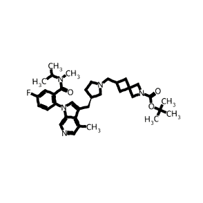 Cc1cncc2c1c(C[C@H]1CCN(CC3CC4(C3)CN(C(=O)OC(C)(C)C)C4)C1)cn2-c1ccc(F)cc1C(=O)N(C)C(C)C